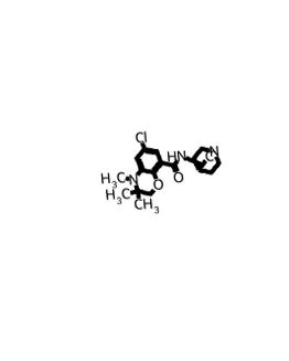 CN1c2cc(Cl)cc(C(=O)NC3CN4CCC3CC4)c2OCC1(C)C